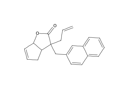 C=CCC1(Cc2ccc3ccccc3c2)C(=O)OC2C=CCC21